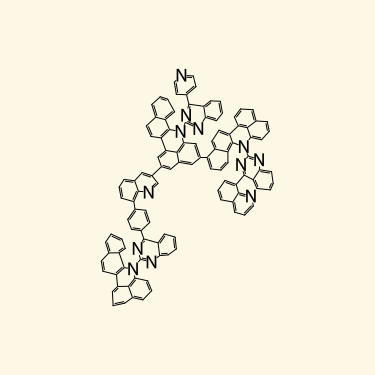 c1ccc2c3c(ccc2c1)-c1cccc2cccc(c12)N3c1nc(-c2ccc(-c3cccc4cc(-c5cc6c7c(cc(-c8cccc9c%10c(ccc89)-c8cccc9cccc(c89)N%10c8nc(-c9cccc%10cccnc9%10)c9ccccc9n8)cc7c5)N(c5nc(-c7ccncc7)c7ccccc7n5)c5c-6ccc6ccccc56)cnc34)cc2)c2ccccc2n1